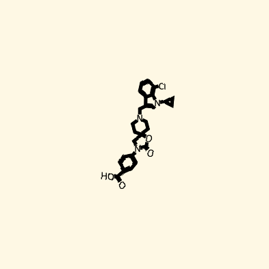 O=C(O)c1ccc(N2CC3(CCN(Cc4cn(C5CC5)c5c(Cl)cccc45)CC3)OC2=O)cc1